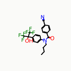 CCCCN(C(=O)c1ccc(C#N)cc1)c1ccc(C(O)(C(F)(F)F)C(F)(F)F)cc1